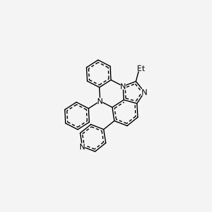 CCc1nc2ccc(-c3ccncc3)c3c2n1-c1ccccc1N3c1ccccc1